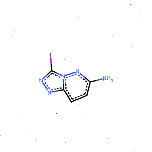 Nc1ccc2nnc(I)n2n1